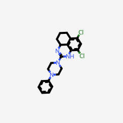 Clc1cc(Cl)c2c3c1CCCC3N=C(N1CCN(c3ccccc3)CC1)N2